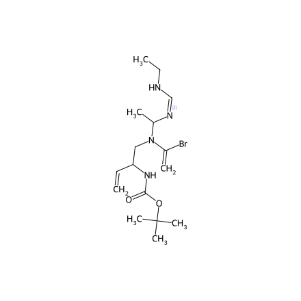 C=CC(CN(C(=C)Br)C(C)/N=C\NCC)NC(=O)OC(C)(C)C